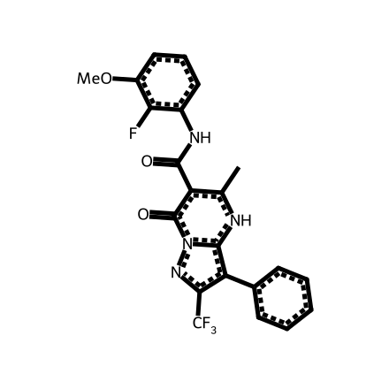 COc1cccc(NC(=O)c2c(C)[nH]c3c(-c4ccccc4)c(C(F)(F)F)nn3c2=O)c1F